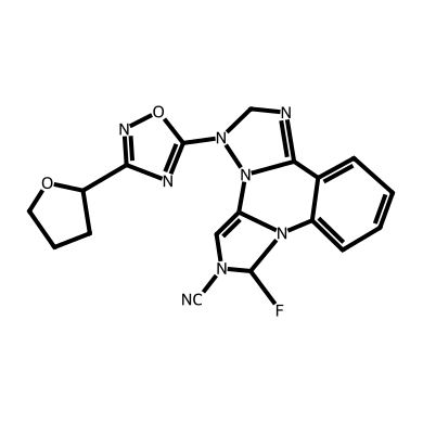 N#CN1C=C2N(c3ccccc3C3=NCN(c4nc(C5CCCO5)no4)N23)C1F